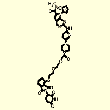 CN(C)C(=O)c1cc2cnc(Nc3ccc(N4CCN(C(=O)COCCOCCSc5cccc6c5C(=O)N(C5CCC(=O)NC5=O)C6=O)CC4)cn3)nc2n1C1CCCC1